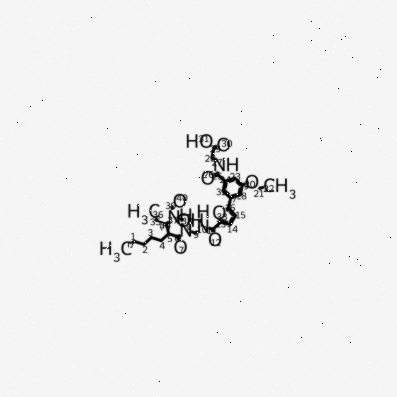 CCCCCC(C(=O)NCNC(=O)c1ccc(-c2cc(OCC)cc(C(=O)NCC(=O)O)c2)o1)[C@@H](CC)N(O)C=O